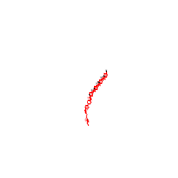 C=CC(=O)OCCCCOC(=O)C1CCC(C2CCC(C(=O)Oc3ccc(N=Nc4ccc(N=Nc5ccc(N=Nc6ccc(C(CC)CC)cc6)cc5C)cc4)cc3)CC2)CC1